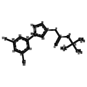 CC(C)(C)OC(=O)Cc1cnn(-c2cc(F)cc(Cl)c2)c1